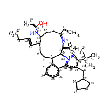 C=C/C1=N/C(=C)C2C(CCC(C=CCC)C(NC(=C)O)CC1)c1ccccc1-c1cc(CC3CCCC3)c([Si](C)(C)C)c[n+]12